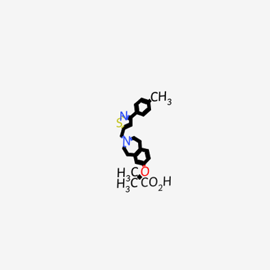 Cc1ccc(-c2cc(CN3CCc4ccc(OC(C)(C)C(=O)O)cc4CC3)sn2)cc1